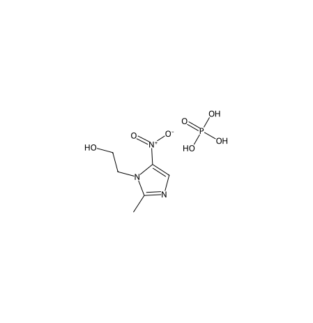 Cc1ncc([N+](=O)[O-])n1CCO.O=P(O)(O)O